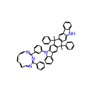 CC1(c2ccccc2)c2cc3[nH]c4ccccc4c3cc2C(C)(c2ccccc2)c2cc3c(cc21)c1ccccc1n3-c1cccc(C2=N/C=C\C=C/C=C/C=N/C(c3ccccc3)=N\2)c1